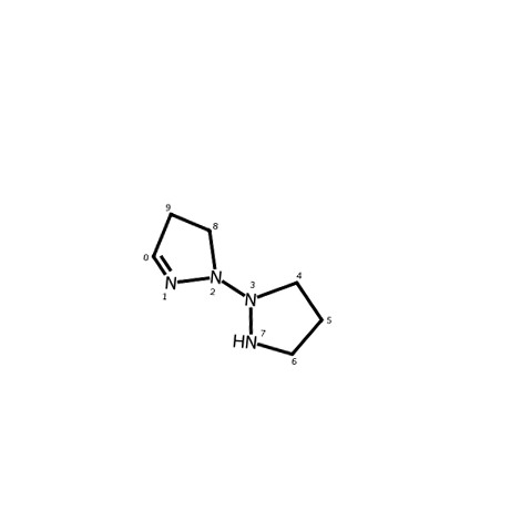 C1=NN(N2CCCN2)CC1